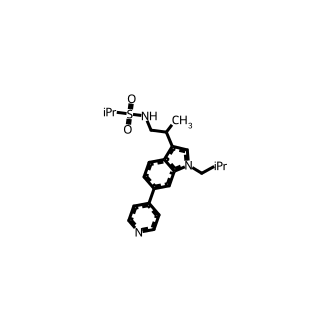 CC(C)Cn1cc(C(C)CNS(=O)(=O)C(C)C)c2ccc(-c3ccncc3)cc21